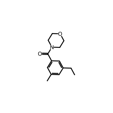 CCc1cc(C)cc(C(=O)N2CCOCC2)c1